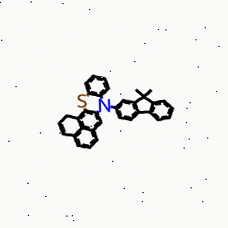 CC1(C)c2ccccc2-c2ccc(N3c4ccccc4Sc4c3cc3cccc5c3c4CC=C5)cc21